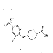 O=C(O)C1CCC(Oc2ncc([N+](=O)[O-])cc2F)CC1